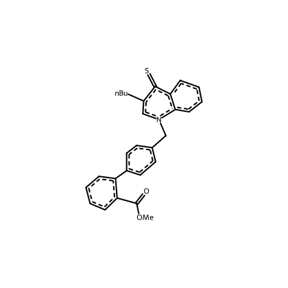 CCCCc1cn(Cc2ccc(-c3ccccc3C(=O)OC)cc2)c2ccccc2c1=S